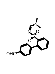 CN(C)/C=N\S(=O)(=O)c1ccccc1-c1ccc(C=O)cc1